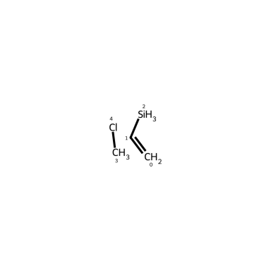 C=C[SiH3].CCl